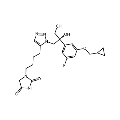 CC[C@@](O)(Cn1nncc1CCCCN1CC(=O)NC1=O)c1cc(F)cc(OCC2CC2)c1